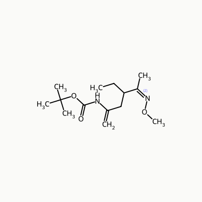 C=C(CC(CC)/C(C)=N\OC)NC(=O)OC(C)(C)C